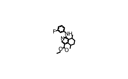 CCOC(=O)c1cnc(Nc2cccc(F)c2)c2c1C(C)CCC2C